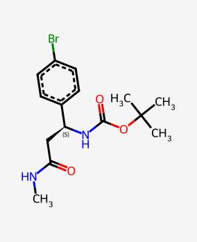 CNC(=O)C[C@H](NC(=O)OC(C)(C)C)c1ccc(Br)cc1